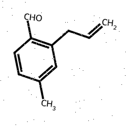 C=CCc1cc(C)ccc1C=O